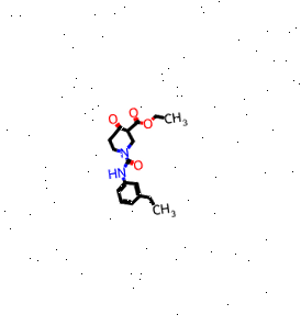 CCOC(=O)C1CN(C(=O)Nc2cccc(CC)c2)CCC1=O